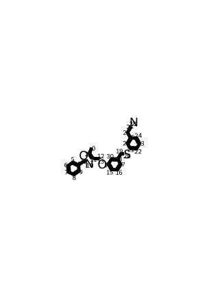 Cc1oc(-c2ccccc2)nc1COc1cccc(CSc2cccc(CC#N)c2)c1